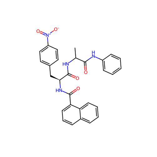 CC(NC(=O)[C@H](Cc1ccc([N+](=O)[O-])cc1)NC(=O)c1cccc2ccccc12)C(=O)Nc1ccccc1